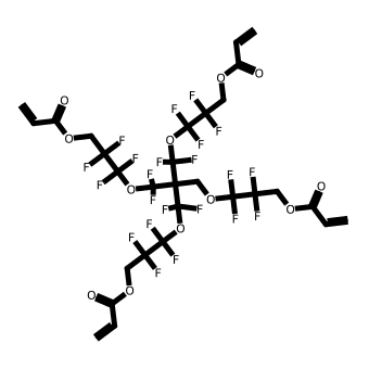 C=CC(=O)OCC(F)(F)C(F)(F)OCC(C(F)(F)OC(F)(F)C(F)(F)COC(=O)C=C)(C(F)(F)OC(F)(F)C(F)(F)COC(=O)C=C)C(F)(F)OC(F)(F)C(F)(F)COC(=O)C=C